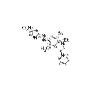 CCN(CC[n+]1ccccc1)c1ccc(N=Nc2ncc([N+](=O)[O-])s2)c(C)c1.[Br-]